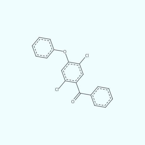 O=C(c1ccccc1)c1cc(Cl)c(Oc2ccccc2)cc1Cl